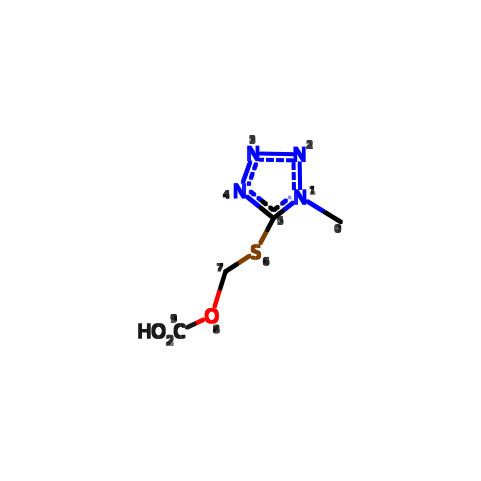 Cn1nnnc1SCOC(=O)O